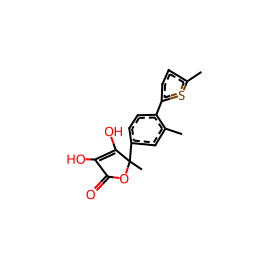 Cc1ccc(-c2ccc(C3(C)OC(=O)C(O)=C3O)cc2C)s1